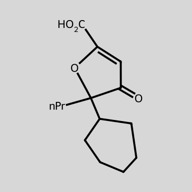 CCCC1(C2CCCCC2)OC(C(=O)O)=CC1=O